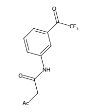 CC(=O)CC(=O)Nc1cccc(C(=O)C(F)(F)F)c1